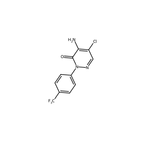 Nc1c(Cl)cnn(-c2ccc(C(F)(F)F)cc2)c1=O